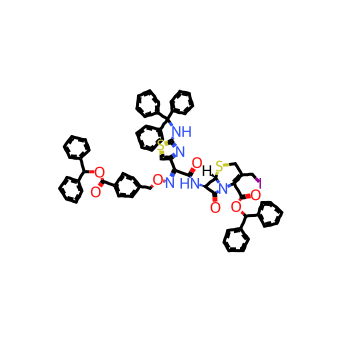 O=C(N[C@@H]1C(=O)N2C(C(=O)OC(c3ccccc3)c3ccccc3)=C(CI)CS[C@@H]12)C(=NOCc1ccc(C(=O)OC(c2ccccc2)c2ccccc2)cc1)c1csc(NC(c2ccccc2)(c2ccccc2)c2ccccc2)n1